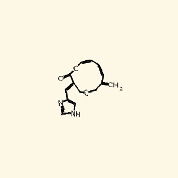 C=C1/C=C\C=C/CC(=O)/C(=C/c2c[nH]cn2)CCC1